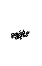 Cc1cccc(N(c2cc(C(C)C)c3ccc4c(N(c5ccccc5C)c5cccc6c5oc5c(C7CCCC7)cccc56)cc(C(C)C)c5ccc2c3c54)c2cccc3c2oc2c(C4CCCC4)cccc23)c1